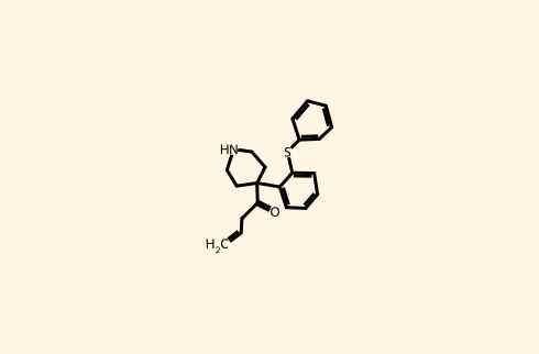 C=CCC(=O)C1(c2ccccc2Sc2ccccc2)CCNCC1